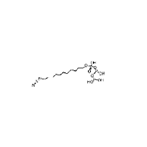 [N-]=[N+]=NCCCCCCCCCCCOP(=O)(O)OP(O)OP(O)O